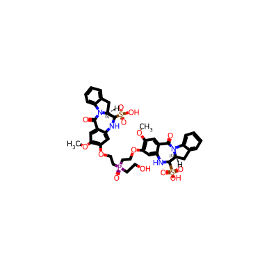 COc1cc2c(cc1OCCP(=O)(CCO)CCOc1cc3c(cc1OC)C(=O)N1c4ccccc4C[C@H]1C(S(=O)(=O)O)N3)NC(S(=O)(=O)O)[C@@H]1Cc3ccccc3N1C2=O